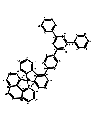 c1ccc(-c2cc(-c3ccc(-c4cccc5c4-c4ccccc4C54c5cccc6ccc7cccc4c7c56)cc3)nc(-c3ccccc3)n2)cc1